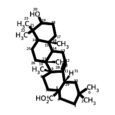 CC1(C)CCC2(C(=O)O)CC[C@@]3(C)C(=CCC4[C@@]5(C)CCC(O)C(C)(C)C5CC[C@]43C)[C@@H]2C1